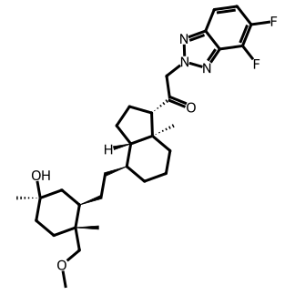 COC[C@]1(C)CC[C@@](C)(O)C[C@H]1CC[C@@H]1CCC[C@]2(C)[C@@H](C(=O)Cn3nc4ccc(F)c(F)c4n3)CC[C@@H]12